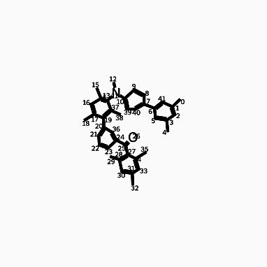 Cc1cc(C)cc(-c2ccc(N(C)c3c(C)cc(C)c(-c4cccc(C(=O)c5c(C)cc(C)cc5C)c4)c3C)cc2)c1